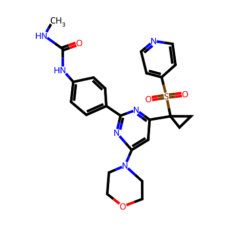 CNC(=O)Nc1ccc(-c2nc(N3CCOCC3)cc(C3(S(=O)(=O)c4ccncc4)CC3)n2)cc1